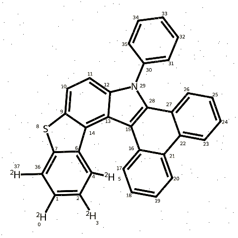 [2H]c1c([2H])c([2H])c2c(sc3ccc4c(c32)c2c3ccccc3c3ccccc3c2n4-c2ccccc2)c1[2H]